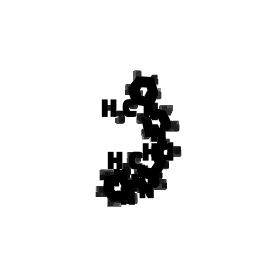 Cc1ccccc1N1CCN(CC=Cc2cnn(-c3ncccn3)c2C)CC1.Cl